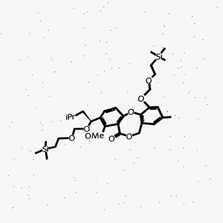 COc1c([C@H](CC(C)C)OCOCC[Si](C)(C)C)ccc2c1C(=O)OCc1cc(C)cc(OCOCC[Si](C)(C)C)c1O2